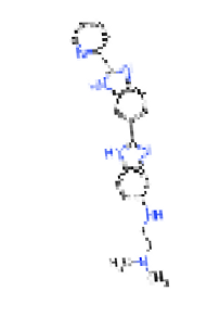 CN(C)CCNc1ccc2[nH]c(-c3ccc4nc(-c5ccccn5)[nH]c4c3)nc2c1